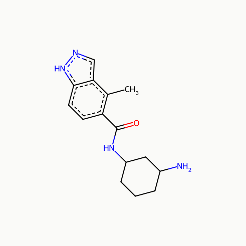 Cc1c(C(=O)NC2CCCC(N)C2)ccc2[nH]ncc12